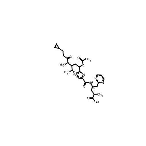 CC(=O)OC(CC(C(C)C)N(C)C(=O)CCC1CC1)c1nc(C(=O)N[C@@H](Cc2ncccn2)CC(C)C(=O)O)cs1